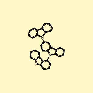 c1ccc2c(c1)sc1cccc(-n3c4ccccc4c4cc(-n5c6ccccc6c6ccccc65)ccc43)c12